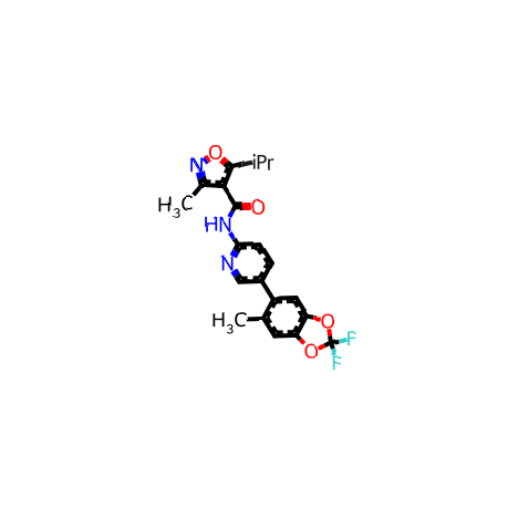 Cc1cc2c(cc1-c1ccc(NC(=O)c3c(C)noc3C(C)C)nc1)OC(F)(F)O2